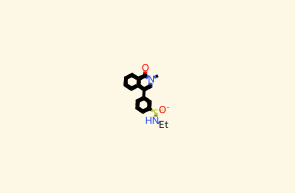 CCN[S+]([O-])c1cccc(-c2cn(C)c(=O)c3ccccc23)c1